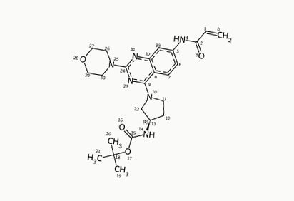 C=CC(=O)Nc1ccc2c(N3CC[C@@H](NC(=O)OC(C)(C)C)C3)nc(N3CCOCC3)nc2c1